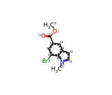 COC(=O)c1cc(Br)c2c(ccn2C)c1